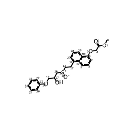 COC(=O)COc1cccc2c(CC[S+]([O-])CC(O)COc3ccccc3)cccc12